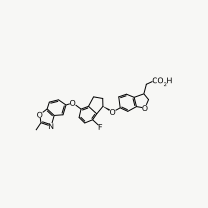 Cc1nc2cc(Oc3ccc(F)c4c3CC[C@H]4Oc3ccc4c(c3)OCC4CC(=O)O)ccc2o1